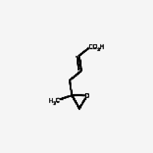 CC1(C/C=C/C(=O)O)CO1